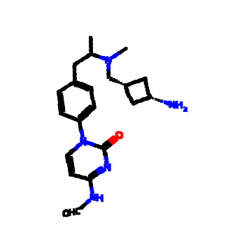 CC(Cc1ccc(-n2ccc(NC=O)nc2=O)cc1)N(C)C[C@H]1C[C@@H](N)C1